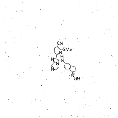 CSc1nc(-c2nc3cnccn3c2Nc2ccc3c(c2)CC/C3=N\O)ccc1C#N